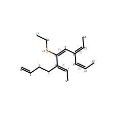 C=CCCC(=C\C)/C(=C\C(\C=C/C)=C/C)SCC